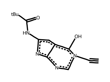 C#Cn1cnc2nc(NC(=O)C(C)(C)C)cc-2c1O